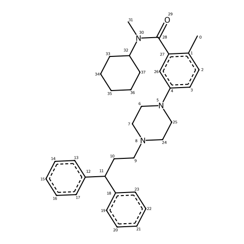 Cc1ccc(N2CCN(CCC(c3ccccc3)c3ccccc3)CC2)cc1C(=O)N(C)C1CCCCC1